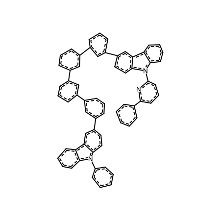 c1ccc(-c2cccc(-n3c4ccccc4c4cc(-c5cccc(-c6cccc(-c7cccc(-c8cccc(-c9ccc%10c(c9)c9ccccc9n%10-c9ccccc9)c8)c7)c6)c5)ccc43)n2)cc1